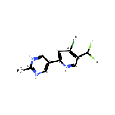 FC(F)c1cnc(-c2cnc(C(F)(F)F)nc2)cc1Cl